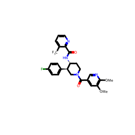 COc1cc(C(=O)N2CC[C@@H](NC(=O)c3ncccc3C(F)(F)F)[C@H](c3ccc(F)cc3)C2)cnc1OC